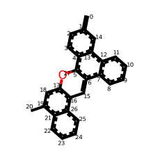 C=c1ccc2c3c(c4ccccc4c2c1)=Cc1c(cc(C)c2ccccc12)O3